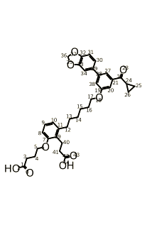 O=C(O)CCCOc1cccc(CCCCCCOc2cc(C(=O)C3CC3)cc(-c3ccc4c(c3)OCO4)c2)c1CCC(=O)O